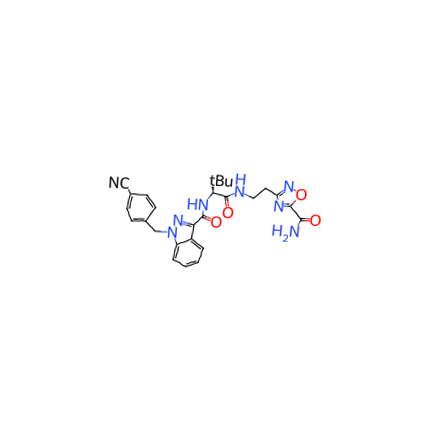 CC(C)(C)[C@H](NC(=O)c1nn(Cc2ccc(C#N)cc2)c2ccccc12)C(=O)NCCc1noc(C(N)=O)n1